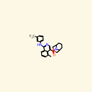 Cc1cccc2c(Nc3cccc(C(F)(F)F)c3)ncc(C(=O)N3C4CCCC3COC4)c12